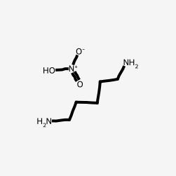 NCCCCCN.O=[N+]([O-])O